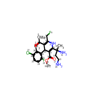 COC(=O)C1=C(CF)NC(C(C)(N)CCN)=C(C(=O)OC(C)C)C1c1c(F)ccc(Cl)c1C(F)(F)F